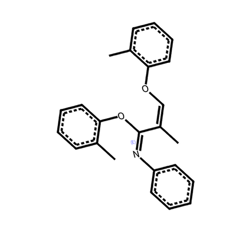 CC(=COc1ccccc1C)/C(=N\c1ccccc1)Oc1ccccc1C